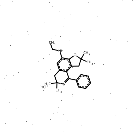 CCNc1cc2c(c3c1OC(C)(C)C3)C(c1ccccc1)=NC(C)(C)C2.Cl